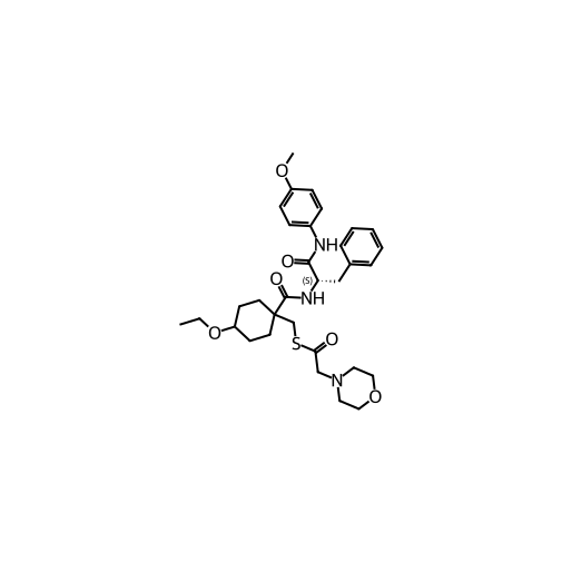 CCOC1CCC(CSC(=O)CN2CCOCC2)(C(=O)N[C@@H](Cc2ccccc2)C(=O)Nc2ccc(OC)cc2)CC1